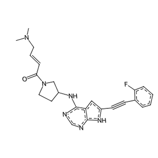 CN(C)C/C=C/C(=O)N1CCC(Nc2ncnc3[nH]c(C#Cc4ccccc4F)cc23)C1